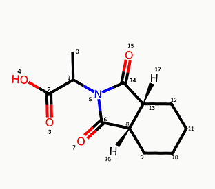 CC(C(=O)O)N1C(=O)[C@H]2CCCC[C@H]2C1=O